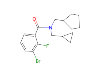 O=C(c1cccc(Br)c1F)N(CC1CCCC1)CC1CC1